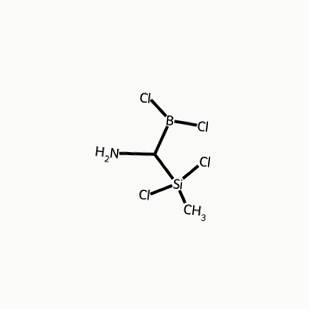 C[Si](Cl)(Cl)C(N)B(Cl)Cl